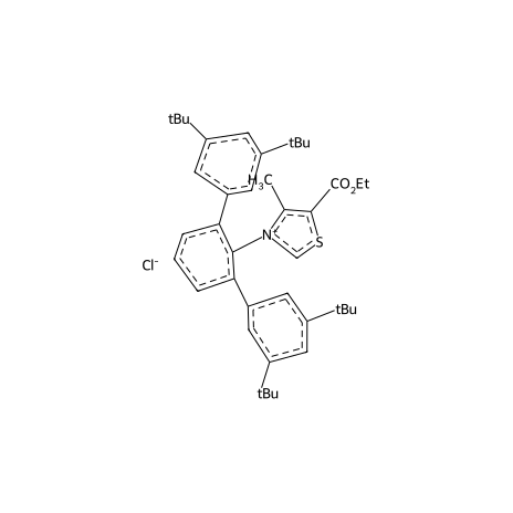 CCOC(=O)c1sc[n+](-c2c(-c3cc(C(C)(C)C)cc(C(C)(C)C)c3)cccc2-c2cc(C(C)(C)C)cc(C(C)(C)C)c2)c1C.[Cl-]